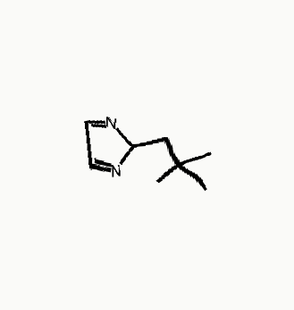 CC(C)(C)CC1N=CC=N1